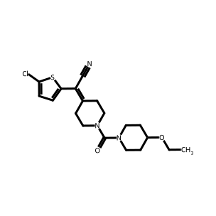 CCOC1CCN(C(=O)N2CCC(=C(C#N)c3ccc(Cl)s3)CC2)CC1